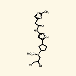 CCC(CO)CN(C(=O)O)[C@@H]1CC[C@H](c2cc(NC(=O)Cc3cnc(C)o3)n[nH]2)C1